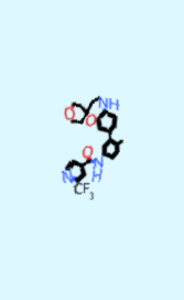 Cc1ccc(NC(=O)c2ccnc(C(F)(F)F)c2)cc1-c1ccc2c(c1)OC1(CCN2)CCOCC1